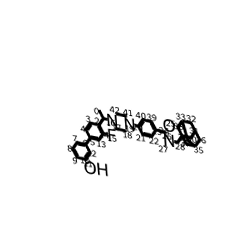 CC(c1ccc(-c2cccc(O)c2)cc1F)N1CCN(c2ccc(C(=O)N(C)CC34CC5CC(CC(C5)C3)C4)cc2)CC1